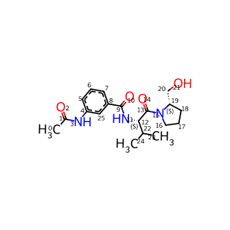 CC(=O)Nc1cccc(C(=O)N[C@H](C(=O)N2CCC[C@H]2CO)C(C)C)c1